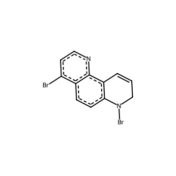 Brc1ccnc2c3c(ccc12)N(Br)CC=C3